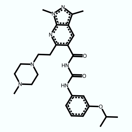 Cc1nn(C)c2nc(CCN3CCN(C)CC3)c(C(=O)NC(=O)Nc3cccc(OC(C)C)c3)cc12